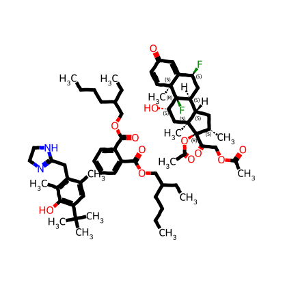 CC(=O)OCC(=O)[C@@]1(OC(C)=O)[C@@H](C)C[C@H]2[C@@H]3C[C@H](F)C4=CC(=O)C=C[C@]4(C)[C@@]3(F)[C@@H](O)C[C@@]21C.CCCCC(CC)COC(=O)c1ccccc1C(=O)OCC(CC)CCCC.Cc1cc(C(C)(C)C)c(O)c(C)c1CC1=NCCN1